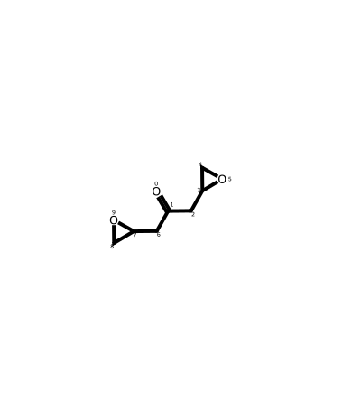 O=C(CC1CO1)CC1CO1